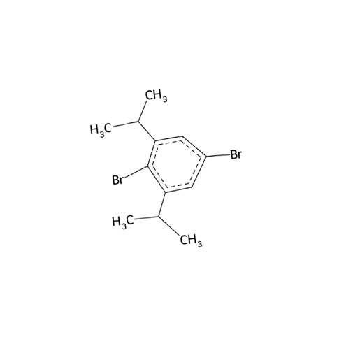 CC(C)c1cc(Br)cc(C(C)C)c1Br